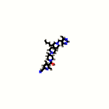 CCCCC1CN(Cc2c(C)ncnc2C)CCC12CCN(C1(C)CCN(C(=O)c3c(C)cc(C#N)nc3C)CC1)CC2